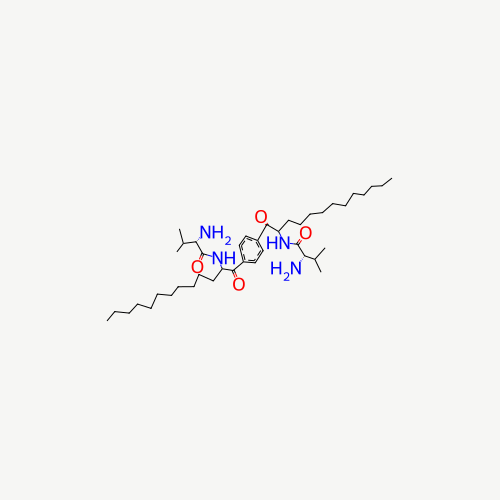 CCCCCCCCCCCC(NC(=O)[C@@H](N)C(C)C)C(=O)c1ccc(C(=O)C(CCCCCCCCCCC)NC(=O)[C@@H](N)C(C)C)cc1